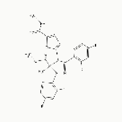 CNC(=O)c1ccc(C2C(c3ccc(F)cc3F)=NN(c3ccc(F)cc3F)C2(C)C(=O)OC)o1